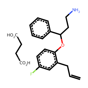 C=CCc1cc(F)ccc1OC(CCN)c1ccccc1.O=C(O)CCC(=O)O